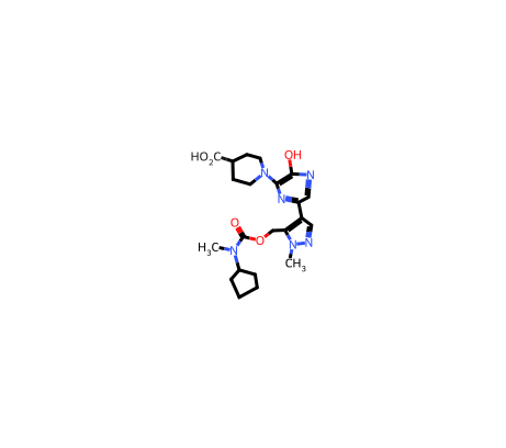 CN(C(=O)OCc1c(-c2cnc(O)c(N3CCC(C(=O)O)CC3)n2)cnn1C)C1CCCC1